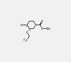 CC[C@H]1CCN(C(=O)OC(C)(C)C)C[C@@H]1OCC(F)(F)F